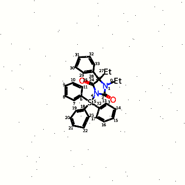 CCN1C(=O)N([Si](c2ccccc2)(c2ccccc2)c2ccccc2)C(=O)C1(CC)c1ccccc1